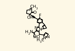 CN1CCC(O)(C#Cc2cc3c(cc2F)C2=CC(C2)n2c-3nc(C(N)=O)c2C(O)c2ccnn2C)C1=O